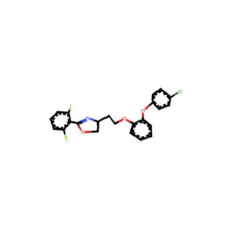 Fc1cccc(F)c1C1=NC(CCOc2ccccc2Oc2ccc(Cl)cc2)CO1